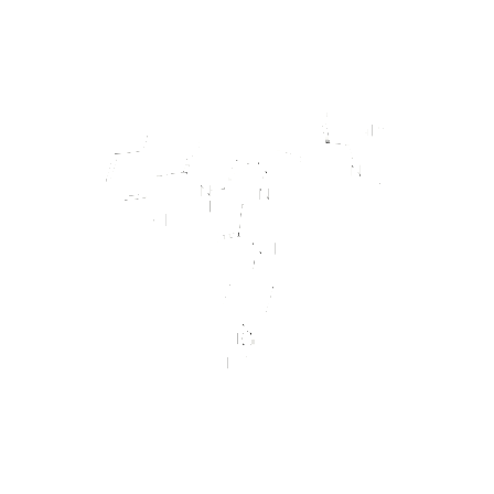 CC(C)C(N)C(=O)OCn1cc(NC(=O)c2c(Cl)cccc2Cl)c(C(=O)NC2CCNCC2)n1.Cl.Cl